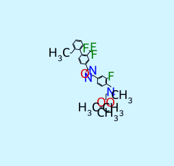 CCc1ccccc1-c1ccc(-c2nc(-c3ccc(CN(C)CC(=O)OC(C)(C)C)c(F)c3)no2)cc1C(F)(F)F